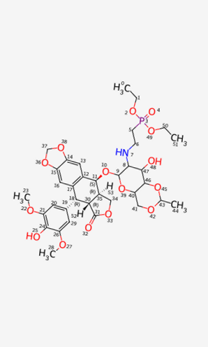 CCOP(=O)(CCNC1C(O[C@@H]2c3cc4c(cc3[C@@H](c3cc(OC)c(O)c(OC)c3)[C@H]3C(=O)OC[C@@H]32)OCO4)OC2COC(C)OC2C1O)OCC